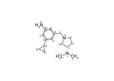 CN(C)[C@H]1CCN(Cc2cc(N)cc(C3CC3)c2)C1